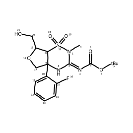 CN1/C(=N\C(=O)OC(C)(C)C)NC2(c3ccccc3F)COC(CO)C2S1(=O)=O